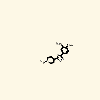 COc1ccc(-c2noc(C3CCN(C)CC3)n2)cc1OC